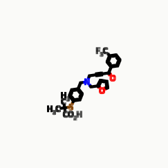 CC(C)(Sc1ccc(CN(CC#CC(=O)c2cccc(C(F)(F)F)c2)Cc2ccco2)cc1)C(=O)O